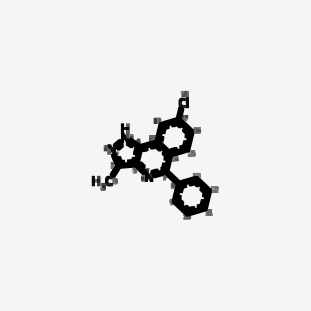 Cc1n[nH]c2c1nc(-c1ccccc1)c1ccc(Cl)cc12